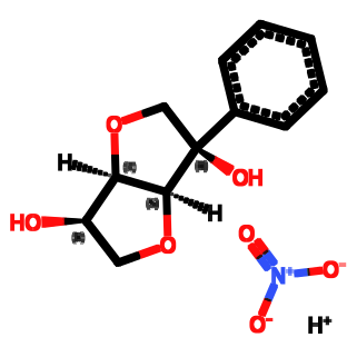 O=[N+]([O-])[O-].O[C@@H]1CO[C@H]2[C@@H]1OC[C@]2(O)c1ccccc1.[H+]